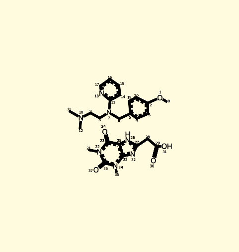 COc1ccc(CN(CCN(C)C)c2ccccn2)cc1.Cn1c(=O)c2[nH]c(CC(=O)O)nc2n(C)c1=O